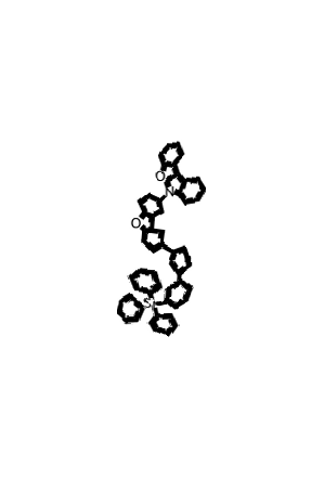 c1ccc([Si](c2ccccc2)(c2ccccc2)c2cccc(-c3cccc(-c4ccc5oc6ccc(-n7c8ccccc8c8c9ccccc9oc87)cc6c5c4)c3)c2)cc1